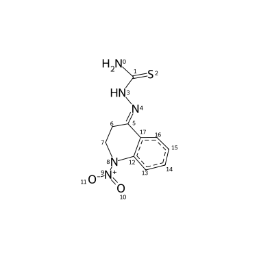 NC(=S)NN=C1CCN([N+](=O)[O-])c2ccccc21